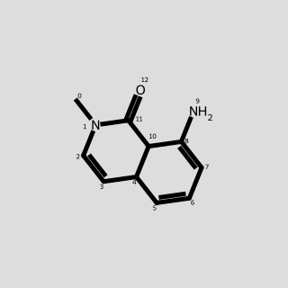 CN1C=CC2C=CC=C(N)C2C1=O